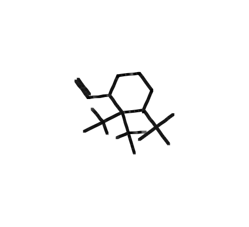 C=CC1CCC[C](C(C)(C)C)C1(C(C)(C)C)C(C)(C)C